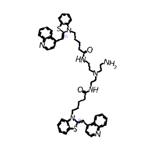 NCCN(CCNC(=O)CCCCN1/C(=C/c2ccnc3ccccc23)Sc2ccccc21)CCNC(=O)CCCCN1/C(=C/c2ccnc3ccccc23)Sc2ccccc21